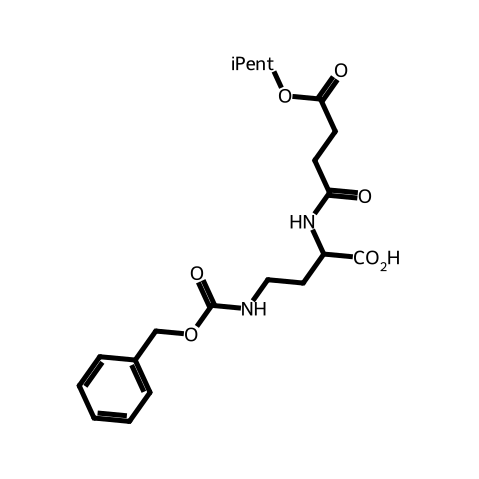 CCCC(C)OC(=O)CCC(=O)NC(CCNC(=O)OCc1ccccc1)C(=O)O